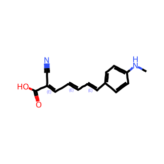 CNc1ccc(/C=C/C=C/C=C(\C#N)C(=O)O)cc1